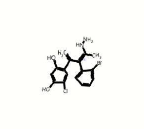 C=C(/C(=C(/C)NN)c1ccccc1Br)c1cc(Cl)c(O)cc1O